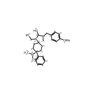 COc1ccc(CN2C[C@]3(CC[C@](c4ccccc4)(N(C)C)CC3)N(CC(C)C)C2O)cc1